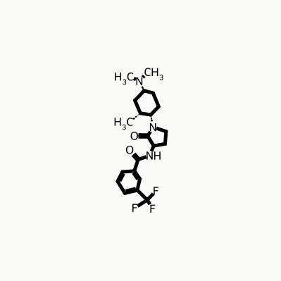 C[C@@H]1C[C@H](N(C)C)CC[C@@H]1N1CCC(NC(=O)c2cccc(C(F)(F)F)c2)C1=O